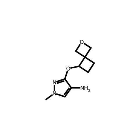 Cn1cc(N)c(OC2CCC23COC3)n1